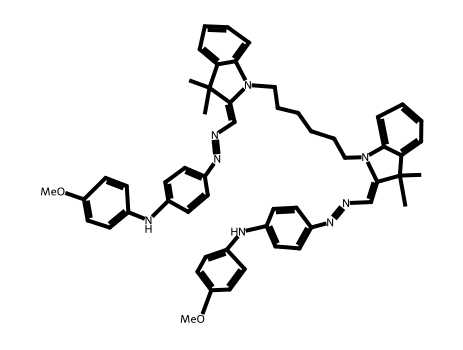 COc1ccc(Nc2ccc(N=NC=C3N(CCCCCCN4C(=CN=Nc5ccc(Nc6ccc(OC)cc6)cc5)C(C)(C)c5ccccc54)c4ccccc4C3(C)C)cc2)cc1